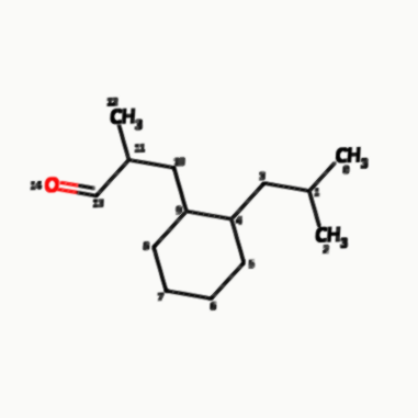 CC(C)CC1CCCCC1CC(C)C=O